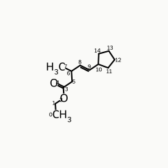 CCOC(=O)CC(C)C=CC1CCCC1